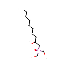 CCCCCCCCC(O)CP(=O)(CO)CO